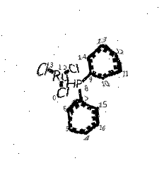 [Cl][Ru]([Cl])[Cl].c1ccc(Pc2ccccc2)cc1